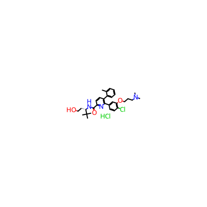 Cc1ccccc1-c1ccc(C(=O)N[C@@H](CCO)C(C)(C)C)nc1-c1ccc(Cl)c(OCCCN(C)C)c1.Cl